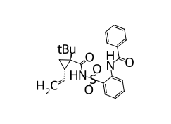 C=C[C@@H]1C[C@@]1(C(=O)NS(=O)(=O)c1ccccc1NC(=O)c1ccccc1)C(C)(C)C